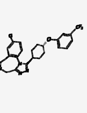 FC(F)(F)c1cccc(O[C@H]2CC[C@H](c3nnc4n3-c3ccc(Cl)cc3CNC4)CC2)c1